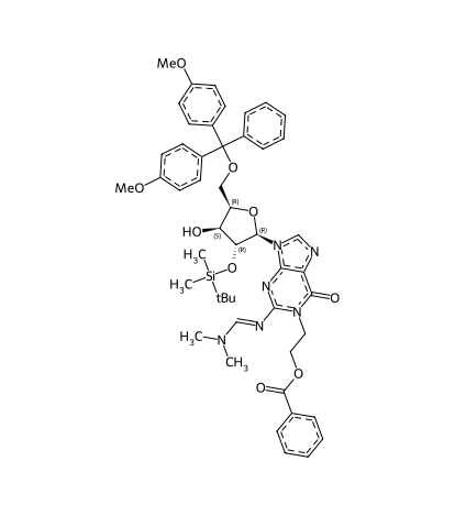 COc1ccc(C(OC[C@H]2O[C@@H](n3cnc4c(=O)n(CCOC(=O)c5ccccc5)c(N=CN(C)C)nc43)[C@H](O[Si](C)(C)C(C)(C)C)[C@H]2O)(c2ccccc2)c2ccc(OC)cc2)cc1